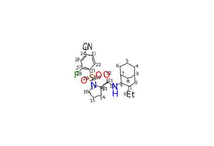 CCC1CC2CCCC(C2)C1NC(=O)[C@H]1CCCN1S(=O)(=O)c1ccc(C#N)cc1F